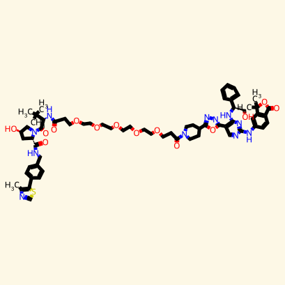 Cc1ncsc1-c1ccc(CNC(=O)[C@@H]2C[C@@H](O)CN2C(=O)[C@@H](NC(=O)CCOCCOCCOCCOCCOCCC(=O)N2CCC(c3nnc(-c4cnc(Nc5ccc6c(c5)C(C)(C)OC6=O)nc4N[C@H](CO)c4ccccc4)o3)CC2)C(C)(C)C)cc1